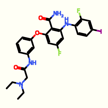 CCN(CC)CC(=O)Nc1cccc(Oc2cc(F)cc(Nc3ccc(I)cc3F)c2C(N)=O)c1